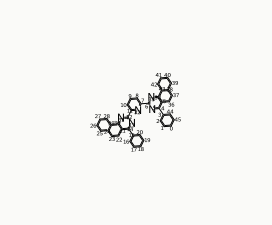 c1ccc(-c2nc(-c3cccc(-c4nc(-c5ccccc5)c5ccc6ccccc6c5n4)n3)nc3c2ccc2ccccc23)cc1